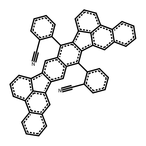 N#Cc1ccccc1-c1c2cc3c(cc2c(-c2ccccc2C#N)c2c4cc5ccccc5c5cccc(c12)c54)c1cc2ccccc2c2cccc3c21